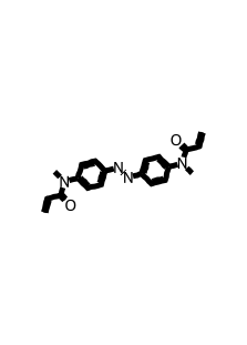 C=CC(=O)N(C)c1ccc(N=Nc2ccc(N(C)C(=O)C=C)cc2)cc1